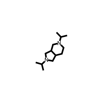 CC(C)N1CCC2CN(C(C)C)CC2C1